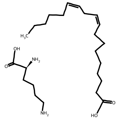 CCCCC/C=C\C/C=C\CCCCCCCC(=O)O.NCCCC[C@H](N)C(=O)O